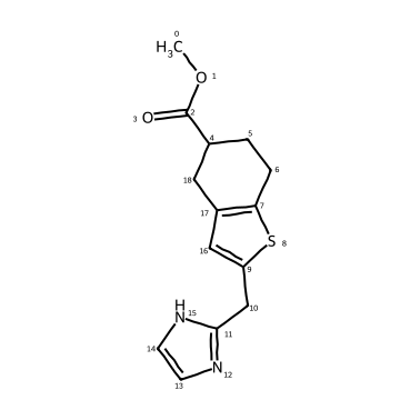 COC(=O)C1CCc2sc(Cc3ncc[nH]3)cc2C1